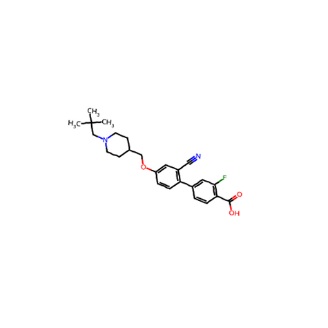 CC(C)(C)CN1CCC(COc2ccc(-c3ccc(C(=O)O)c(F)c3)c(C#N)c2)CC1